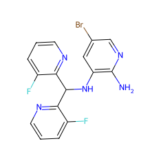 Nc1ncc(Br)cc1NC(c1ncccc1F)c1ncccc1F